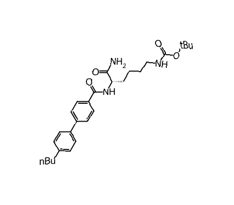 CCCCc1ccc(-c2ccc(C(=O)N[C@@H](CCCCNC(=O)OC(C)(C)C)C(N)=O)cc2)cc1